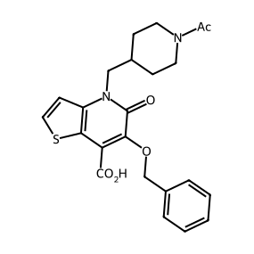 CC(=O)N1CCC(Cn2c(=O)c(OCc3ccccc3)c(C(=O)O)c3sccc32)CC1